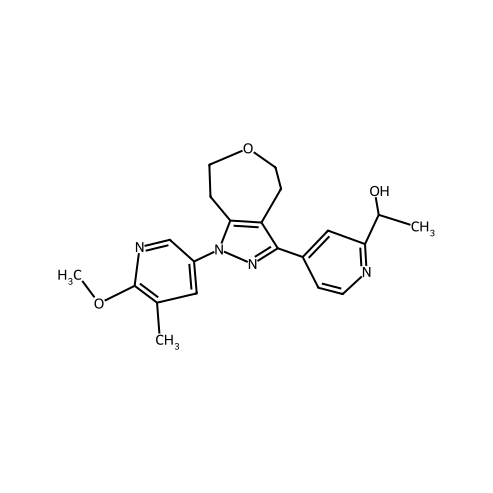 COc1ncc(-n2nc(-c3ccnc(C(C)O)c3)c3c2CCOCC3)cc1C